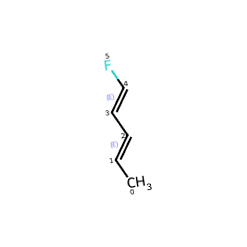 C/C=C/C=C/F